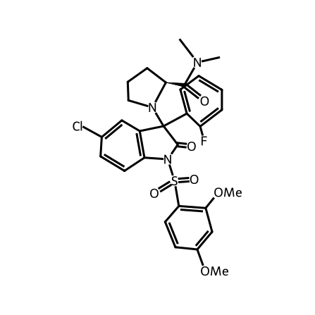 COc1ccc(S(=O)(=O)N2C(=O)C(c3ccccc3F)(N3CCC[C@H]3C(=O)N(C)C)c3cc(Cl)ccc32)c(OC)c1